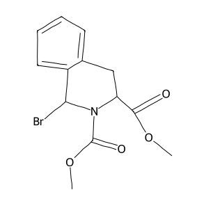 COC(=O)C1Cc2ccccc2C(Br)N1C(=O)OC